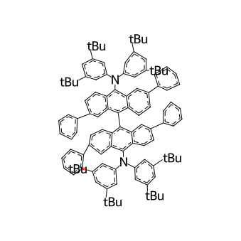 CC(C)(C)c1cc(N(c2cc(C(C)(C)C)cc(C(C)(C)C)c2)c2c3ccc(-c4ccccc4)cc3c(-c3c4cc(-c5ccccc5)ccc4c(N(c4cc(C(C)(C)C)cc(C(C)(C)C)c4)c4cc(C(C)(C)C)cc(C(C)(C)C)c4)c4cc(-c5ccccc5)ccc34)c3ccc(-c4ccccc4)cc23)cc(C(C)(C)C)c1